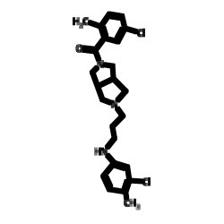 Cc1ccc(NCCCN2CC3CN(C(=O)c4cc(Cl)ccc4C)CC3C2)cc1Cl